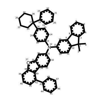 CC1(C)c2ccccc2-c2cc(N(c3ccc(C4(c5ccccc5)CCCCC4)cc3)c3ccc4c(c3)oc3cccc(-c5ccccc5)c34)ccc21